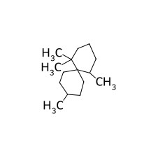 CC1CCC2(CC1)C(C)CCCC2(C)C